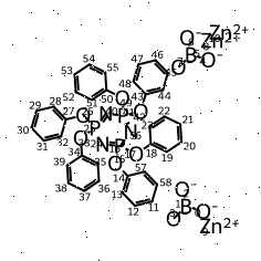 [O-]B([O-])[O-].[O-]B([O-])[O-].[Zn+2].[Zn+2].[Zn+2].c1ccc(OP2(Oc3ccccc3)=NP(Oc3ccccc3)(Oc3ccccc3)=NP(Oc3ccccc3)(Oc3ccccc3)=N2)cc1